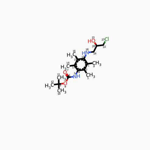 Cc1c(C)c(NC(=O)OC(C)(C)C)c(C)c(C)c1NCC(O)CCl